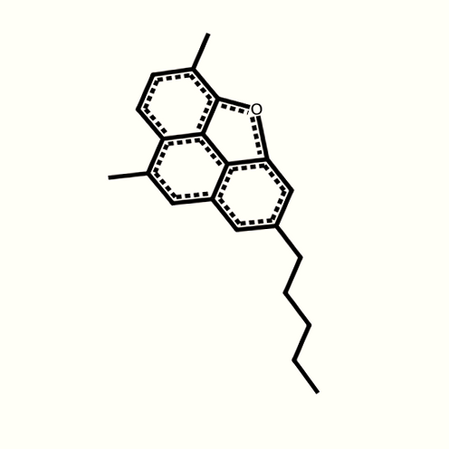 CCCCCc1cc2cc(C)c3ccc(C)c4oc(c1)c2c34